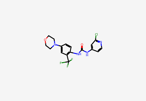 O=C(Nc1ccnc(Cl)c1)Nc1ccc(N2CCOCC2)cc1C(F)(F)F